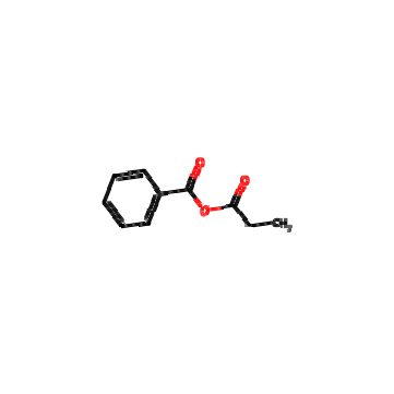 C[CH]C(=O)OC(=O)c1ccccc1